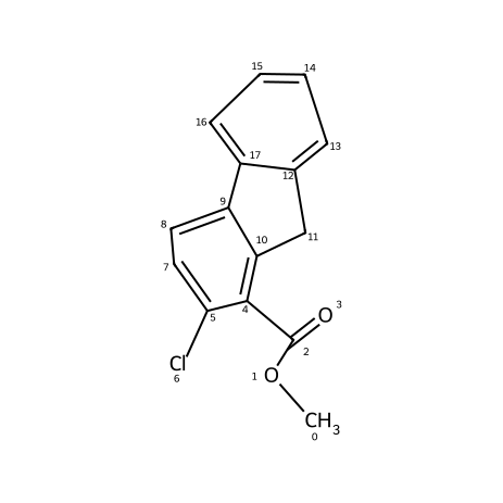 COC(=O)c1c(Cl)ccc2c1Cc1ccccc1-2